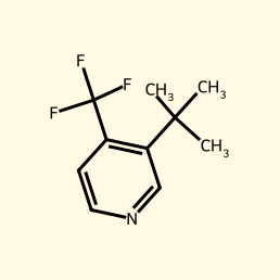 CC(C)(C)c1cnccc1C(F)(F)F